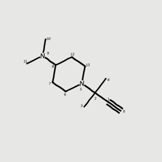 C#CC(C)(C)N1CCC(N(C)C)CC1